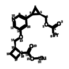 CC(C)C(=O)OC[C@@H]1CC1c1cncc(OC[C@@H]2CCN2C(=O)OC(C)(C)C)c1